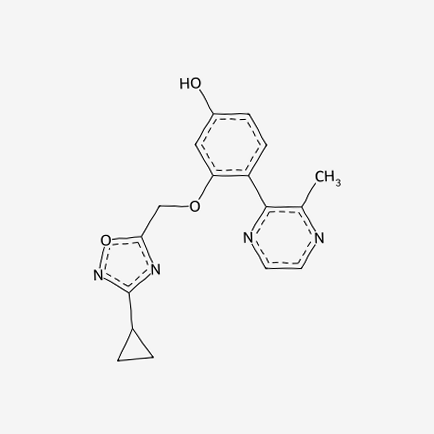 Cc1nccnc1-c1ccc(O)cc1OCc1nc(C2CC2)no1